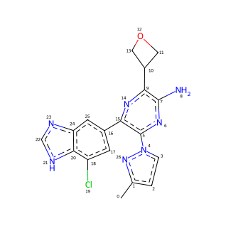 Cc1ccn(-c2nc(N)c(C3COC3)nc2-c2cc(Cl)c3[nH]cnc3c2)n1